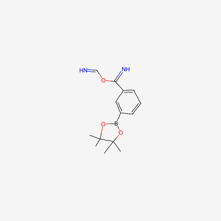 CC1(C)OB(c2cccc(C(=N)OC=N)c2)OC1(C)C